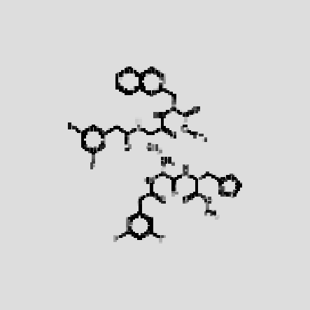 COC(=O)[C@H](Cc1ccc2ccccc2c1)NC(=O)[C@H](C)NC(=O)Cc1cc(F)cc(F)c1.COC(=O)[C@H](Cc1cccs1)NC(=O)[C@H](C)NC(=O)Cc1cc(F)cc(F)c1